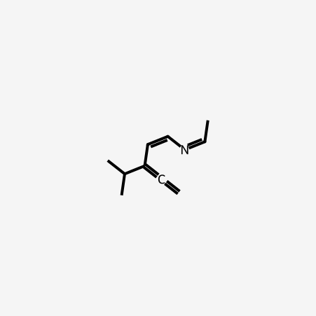 C=C=C(/C=C\N=C/C)C(C)C